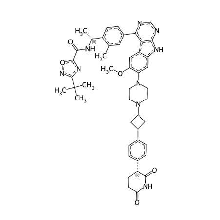 COc1cc2c(cc1N1CCN(C3CC(c4ccc([C@H]5CCC(=O)NC5=O)cc4)C3)CC1)[nH]c1ncnc(-c3ccc([C@@H](C)NC(=O)c4nc(C(C)(C)C)no4)c(C)c3)c12